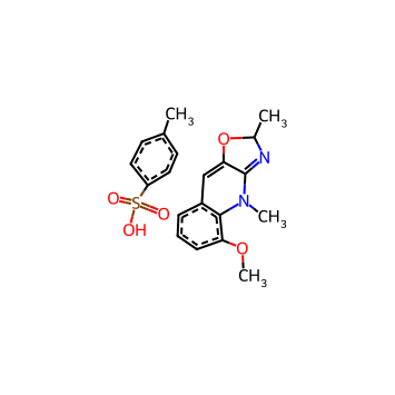 COc1cccc2c1N(C)C1=NC(C)OC1=C2.Cc1ccc(S(=O)(=O)O)cc1